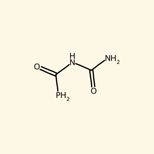 NC(=O)NC(=O)P